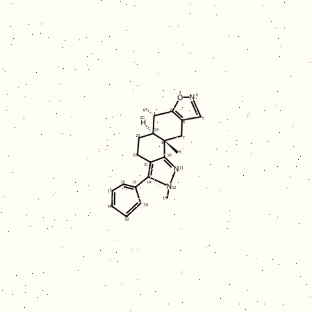 C[C@@H]1c2oncc2C[C@]2(C)c3nn(C)c(-c4ccccc4)c3CC[C@@H]12